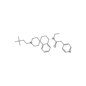 CCN(C(=O)Cc1ccncc1)[C@H]1CCC2(CCN(CCC(C)(C)C)CC2)c2ccccc21